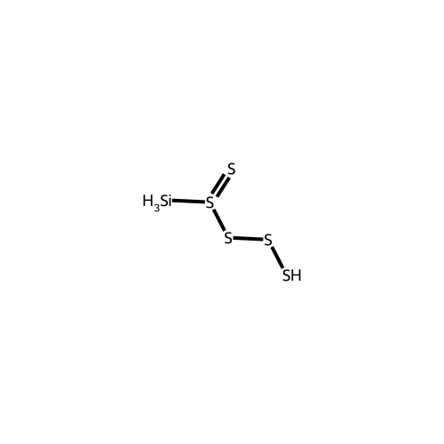 [SiH3]S(=S)SSS